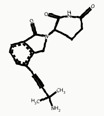 CC(C)(N)C#Cc1cccc2c1CN(C1CCC(=O)NC1=O)C2=O